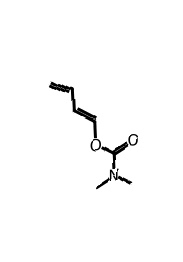 C=CC=COC(=O)N(C)C